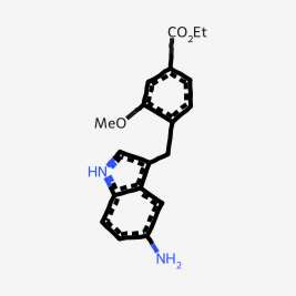 CCOC(=O)c1ccc(Cc2c[nH]c3ccc(N)cc23)c(OC)c1